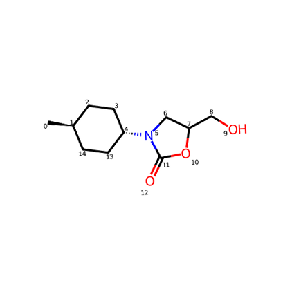 C[C@H]1CC[C@H](N2CC(CO)OC2=O)CC1